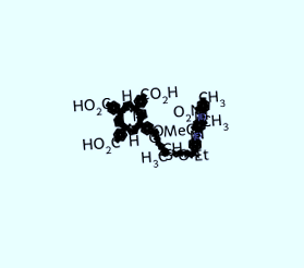 CCN(CCOCCCSC(C)(C)SCCCOC(=O)c1ccc(-c2c3nc(c(-c4ccc(C(=O)O)cc4)c4ccc([nH]4)c(-c4ccc(C(=O)O)cc4)c4nc(c(-c5ccc(C(=O)O)cc5)c5ccc2[nH]5)C=C4)C=C3)cc1)c1ccc(/N=N/c2cc(C)c(/N=N/c3ccc(C)cc3[N+](=O)[O-])cc2OC)cc1